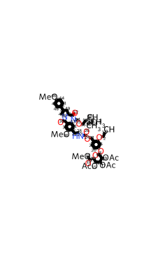 C#CCOc1cc(O[C@@H]2O[C@H](C(=O)OC)[C@@H](OC(C)=O)[C@H](OC(C)=O)[C@H]2OC(C)=O)ccc1COC(=O)NCCc1cc2c(cc1OC)C(=O)N1C=C(c3ccc(OC)cc3)CC1C(=O)N2COCC[Si](C)(C)C